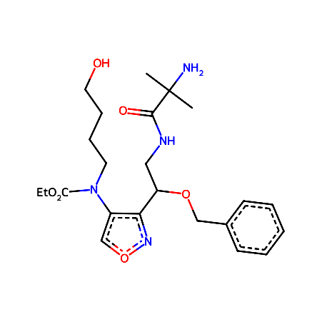 CCOC(=O)N(CCCCO)c1conc1C(CNC(=O)C(C)(C)N)OCc1ccccc1